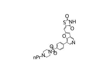 CCCN1CCN(S(=O)(=O)c2ccc(-c3cncc4cc(C=C5SC(=O)NC5=O)oc34)cc2)CC1